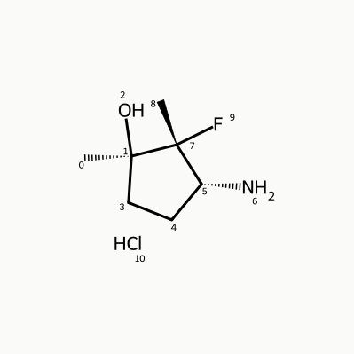 C[C@@]1(O)CC[C@@H](N)[C@@]1(C)F.Cl